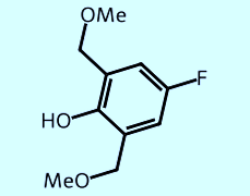 COCc1cc(F)cc(COC)c1O